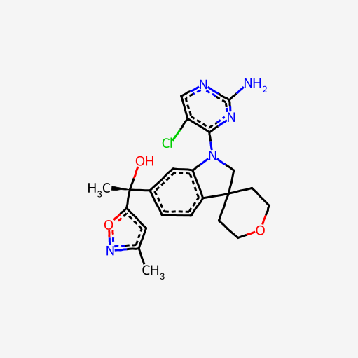 Cc1cc([C@](C)(O)c2ccc3c(c2)N(c2nc(N)ncc2Cl)CC32CCOCC2)on1